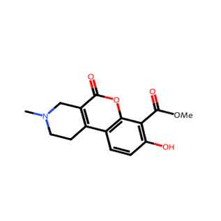 COC(=O)c1c(O)ccc2c3c(c(=O)oc12)CN(C)CC3